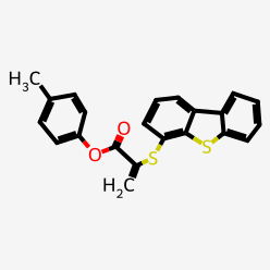 C=C(Sc1cccc2c1sc1ccccc12)C(=O)Oc1ccc(C)cc1